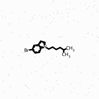 CC(C)CCCCn1ccc2cc(Br)ccc21